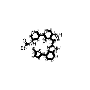 CCC(=O)Nc1cncc(-c2ncc3[nH]nc(-c4nc5c(-c6ccc(C)s6)cccc5[nH]4)c3c2F)c1